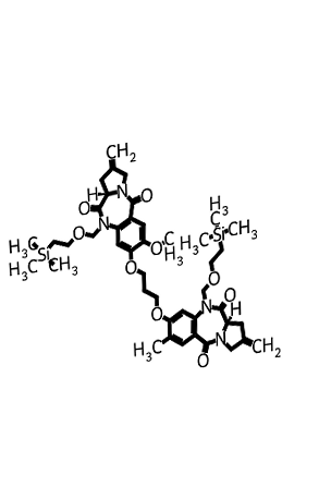 C=C1C[C@H]2C(=O)N(COCC[Si](C)(C)C)c3cc(OCCCOc4cc5c(cc4OC)C(=O)N4CC(=C)C[C@H]4C(=O)N5COCC[Si](C)(C)C)c(C)cc3C(=O)N2C1